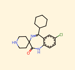 O=C1Nc2ccc(Cl)cc2C(C2CCCCC2)=NC12CCNCC2